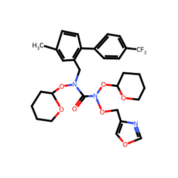 Cc1ccc(-c2ccc(C(F)(F)F)cc2)c(CN(OC2CCCCO2)C(=O)N(OCc2cocn2)OC2CCCCO2)c1